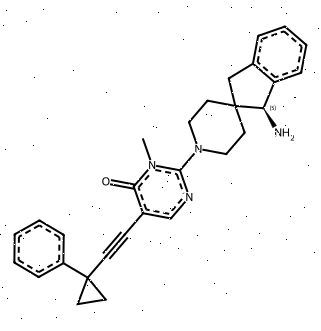 Cn1c(N2CCC3(CC2)Cc2ccccc2[C@H]3N)ncc(C#CC2(c3ccccc3)CC2)c1=O